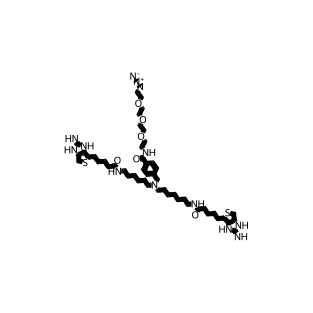 [N-]=[N+]=NCCOCCOCCOCCNC(=O)c1ccc(CN(CCCCCCCNC(=O)CCCCC2SCC3NC(=N)NC32)CCCCCCNC(=O)CCCCC2SCC3NC(=N)NC32)cc1